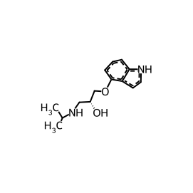 CC(C)NC[C@@H](O)COc1cccc2[nH]ccc12